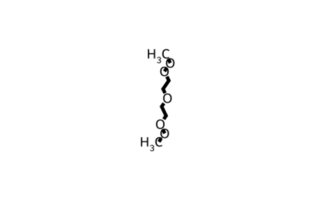 COOCCOCCOOC